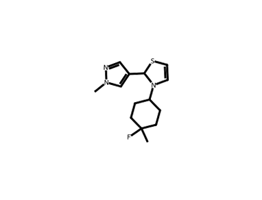 Cn1cc(C2SC=CN2C2CCC(C)(F)CC2)cn1